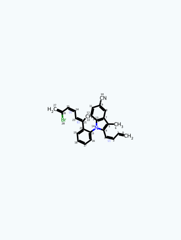 C=C/C=C\c1c(C)c2cc(C#N)ccc2n1-c1ccccc1/C(C)=C/C=C\C(=C)Br